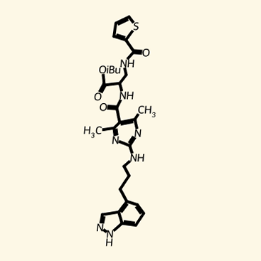 Cc1nc(NCCCc2cccc3[nH]ncc23)nc(C)c1C(=O)NC(CNC(=O)c1cccs1)C(=O)OCC(C)C